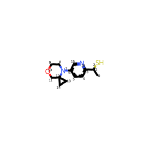 CC(S)c1ccc(N2CCOCC23CC3)cn1